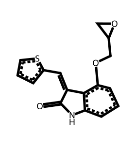 O=C1Nc2cccc(OCC3CO3)c2/C1=C/c1cccs1